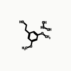 COc1cc(CCO)cc(OC)c1.OBO